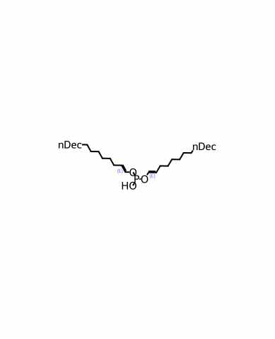 CCCCCCCCCCCCCCCC/C=C/OP(O)O/C=C/CCCCCCCCCCCCCCCC